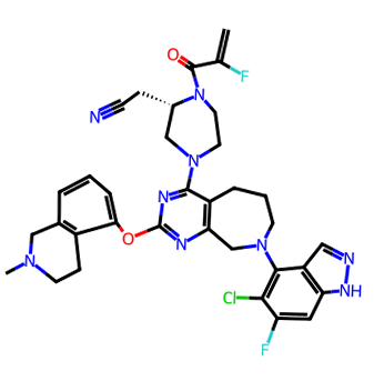 C=C(F)C(=O)N1CCN(c2nc(Oc3cccc4c3CCN(C)C4)nc3c2CCCN(c2c(Cl)c(F)cc4[nH]ncc24)C3)C[C@@H]1CC#N